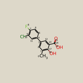 Cc1cc(-c2ccc(F)c(Cl)c2)cc(C(=O)O)c1O